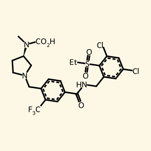 CCS(=O)(=O)c1c(Cl)cc(Cl)cc1CNC(=O)c1ccc(CN2CC[C@@H](N(C)C(=O)O)C2)c(C(F)(F)F)c1